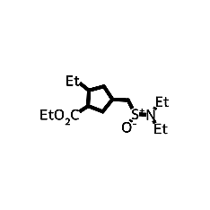 CCOC(=O)C1CC(C[S+]([O-])N(CC)CC)CC1CC